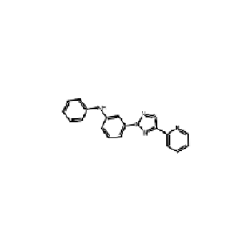 c1ccc(Nc2cccc(-n3nnc(-c4ccccn4)n3)c2)cc1